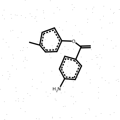 C=C(Oc1ccc(C)cc1)c1ccc(N)cc1